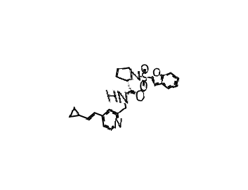 O=C(NCc1cc(/C=C/C2CC2)ccn1)[C@@H]1CCCN1S(=O)(=O)c1cc2ccccc2o1